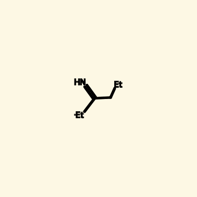 C[CH]C(=N)CCC